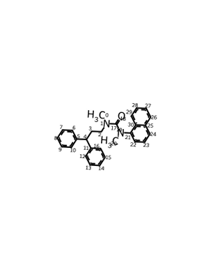 CN(CCC(c1ccccc1)c1ccccc1)C(=O)N(C)c1cccc2ccccc12